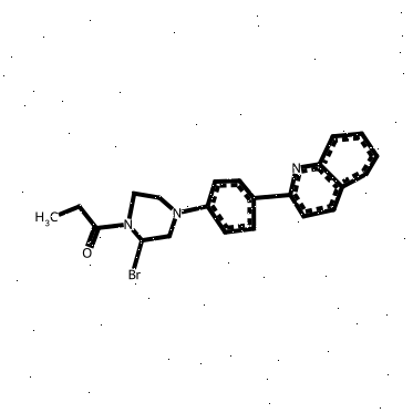 CCC(=O)N1CCN(c2ccc(-c3ccc4ccccc4n3)cc2)CC1Br